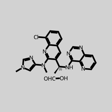 C[C@H](Nc1ncnc2cccnc12)c1cc2cccc(Cl)c2nc1N(C)c1cn(C)cn1.O=CO